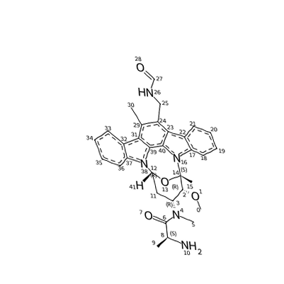 CO[C@@H]1[C@H](N(C)C(=O)[C@H](C)N)C[C@H]2O[C@]1(C)n1c3ccccc3c3c(CNC=O)c(C)c4c5ccccc5n2c4c31